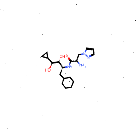 NC(Cn1cccn1)C(=O)N[C@@H](CC1CCCCC1)[C@@H](O)[C@@H](O)C1CC1